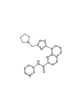 O=C(Nc1cccnc1)c1ccc2cccc(-c3nc(CN4CCCC4)cs3)c2n1